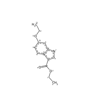 CCOC(=O)c1cnc2cc(OCC)ccn12